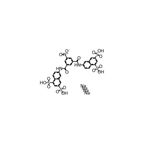 O=C(Nc1ccc2c(S(=O)(=O)O)cc(S(=O)(=O)O)cc2c1)c1cc(C(=O)Nc2ccc3c(S(=O)(=O)O)cc(S(=O)(=O)O)cc3c2)cc([N+](=O)[O-])c1.[Na].[Na].[Na].[Na]